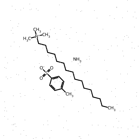 CCCCCCCCCCCCCCCC[N+](C)(C)C.Cc1ccc(S(=O)(=O)[O-])cc1.N